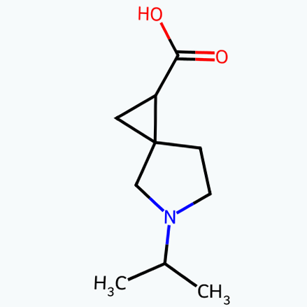 CC(C)N1CCC2(CC2C(=O)O)C1